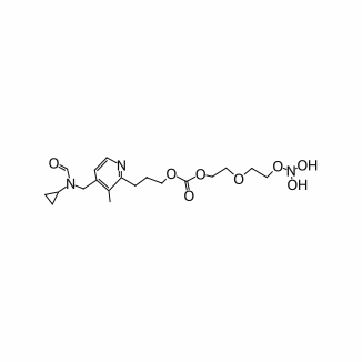 Cc1c(CN(C=O)C2CC2)ccnc1CCCOC(=O)OCCOCCON(O)O